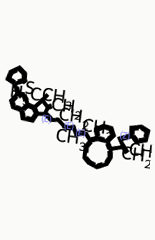 C=C(/C=C1\C(=C)C(C)(C)c2c1ccc1ccc3c4ccccc4sc3c21)/C(C)=C/C=C(\C)c1ccccccc(C(=C)/C=c2/ccccc2=C)c2ccccc12